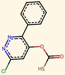 O=C(S)Oc1cc(Cl)nnc1-c1ccccc1